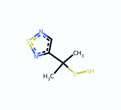 CC(C)(SS)c1cnsn1